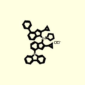 C1=C(C2CC2)[CH]([Zr+2]([CH]2C(C3CC3)=Cc3c2cccc3-n2c3ccccc3c3ccccc32)=[Si]2CCCC2)c2cccc(-c3ccccc3)c21.[Cl-].[Cl-]